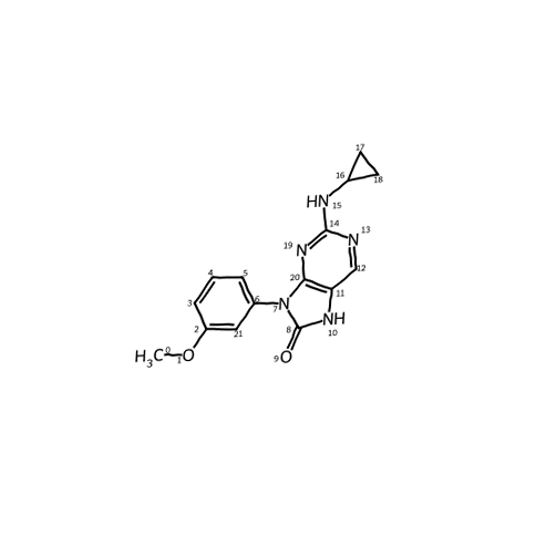 COc1cccc(-n2c(=O)[nH]c3cnc(NC4CC4)nc32)c1